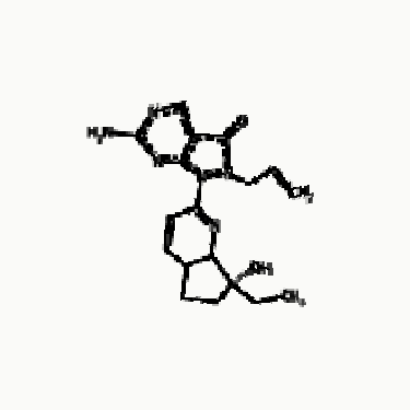 C=CCn1c(=O)c2cnc(N)nc2n1C1=NC2C(C=C1)CC[C@]2(O)CC